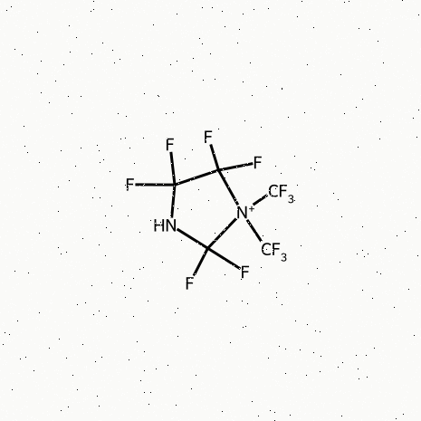 FC1(F)NC(F)(F)[N+](C(F)(F)F)(C(F)(F)F)C1(F)F